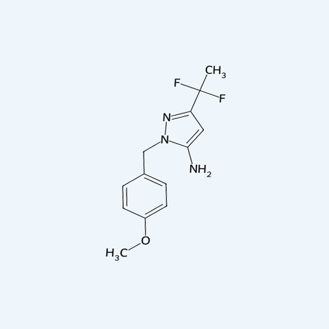 COc1ccc(Cn2nc(C(C)(F)F)cc2N)cc1